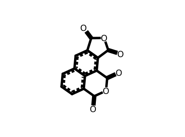 O=C1OC(=O)c2c1cc1cccc3c1c2C(=O)OC3=O